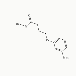 CC(C)(C)OC(=O)CCCOc1cccc(C=O)c1